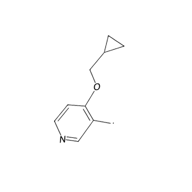 [CH2]c1cnccc1OCC1CC1